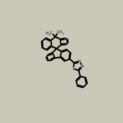 CC1(C)c2ccccc2C2(c3ccccc3-c3cc(-c4nnc(-c5ccccc5)s4)ccc32)c2ccccc21